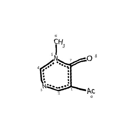 CC(=O)c1cncn(C)c1=O